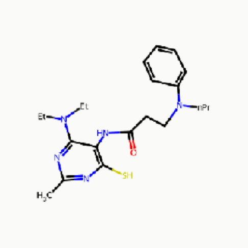 CCCN(CCC(=O)Nc1c(S)nc(C)nc1N(CC)CC)c1ccccc1